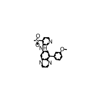 COc1cccc(-c2cc(Nc3cnccc3S(C)(=O)=O)cc3nccnc23)c1